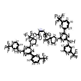 O=C(/C=C\C(=O)O[C@@]1(C(F)(F)F)CCN(c2nc(Nc3ccnc(C(F)(F)F)c3)nc(-c3cccc(C(F)(F)F)n3)n2)C1)O[C@@]1(C(F)(F)F)CCN(c2nc(Nc3ccnc(C(F)(F)F)c3)nc(-c3cccc(C(F)(F)F)n3)n2)C1